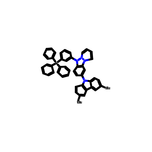 CC(C)(C)c1ccc2c(c1)c1cc(C(C)(C)C)ccc1n2-c1ccc2c(c1)N1C=CC=CN1N2c1cccc([Si](c2ccccc2)(c2ccccc2)c2ccccc2)c1